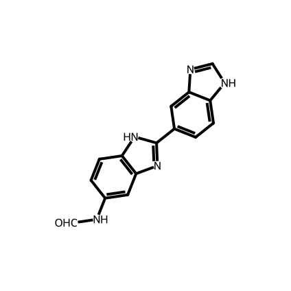 O=CNc1ccc2[nH]c(-c3ccc4[nH]cnc4c3)nc2c1